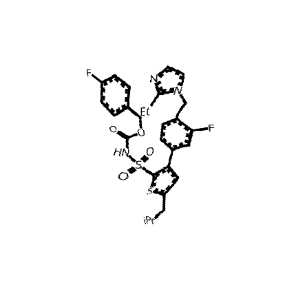 CCc1nccn1Cc1ccc(-c2cc(CC(C)C)sc2S(=O)(=O)NC(=O)OCc2ccc(F)cc2)cc1F